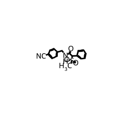 CS(=O)(=O)C(C(=O)NCc1ccc(C#N)cc1)c1ccccc1